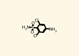 Nc1cc(Cl)c(S(N)(=O)=O)c(Cl)c1